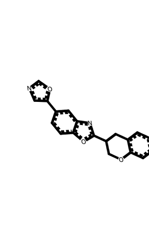 c1ccc2c(c1)CC(c1nc3cc(-c4cnco4)ccc3o1)CO2